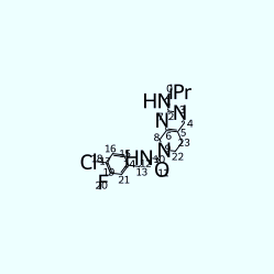 CC(C)Nc1ncc2c(n1)CN(C(=O)NCc1ccc(Cl)c(F)c1)CC2